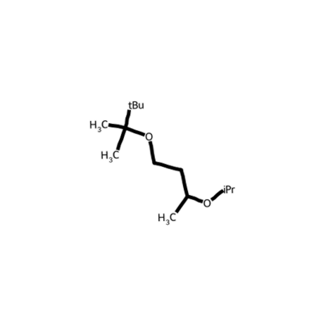 CC(C)OC(C)CCOC(C)(C)C(C)(C)C